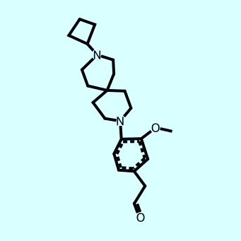 COc1cc(CC=O)ccc1N1CCC2(CC1)CCN(C1CCC1)CC2